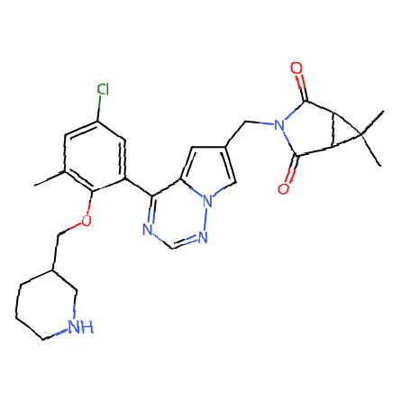 Cc1cc(Cl)cc(-c2ncnn3cc(CN4C(=O)C5C(C4=O)C5(C)C)cc23)c1OCC1CCCNC1